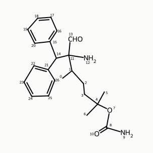 CC(CCC(C)(C)OC(N)=O)C(N)(C=O)C(c1ccccc1)c1ccccc1